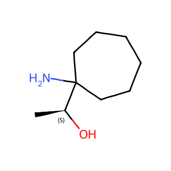 C[C@H](O)C1(N)CCCCCC1